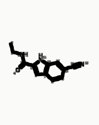 CCNC(=O)c1cc2ccc(C#N)cc2[nH]1